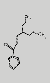 CCCC(CCC)CCC(=O)c1ccccc1